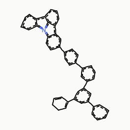 C1=CC(c2cc(-c3ccccc3)cc(-c3cccc(-c4ccc(-c5ccc6c(c5)c5cccc7c8ccccc8n6c75)cc4)c3)c2)=CCC1